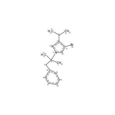 CC(C)c1nn(C(C)(C)Cc2ccccc2)[c]c1Br